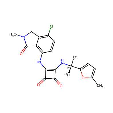 [2H][C@](CC)(Nc1c(Nc2ccc(Cl)c3c2C(=O)N(C)C3)c(=O)c1=O)c1ccc(C)o1